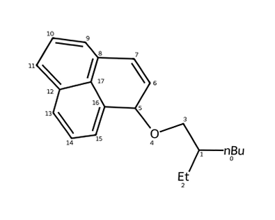 CCCCC(CC)COC1C=Cc2cccc3cccc1c23